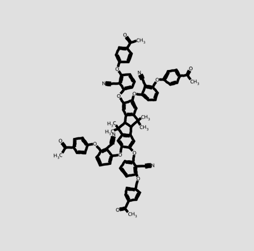 CC(=O)c1ccc(Oc2cccc(Oc3cc4c(cc3Oc3cccc(Oc5ccc(C(C)=O)cc5)c3C#N)C(C)(C)C3c5cc(Oc6cccc(Oc7ccc(C(C)=O)cc7)c6C#N)c(Oc6cccc(Oc7ccc(C(C)=O)cc7)c6C#N)cc5C(C)(C)C43)c2C#N)cc1